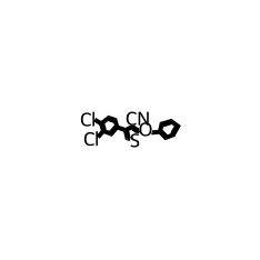 N#Cc1c(-c2ccc(Cl)c(Cl)c2)csc1OCc1ccccc1